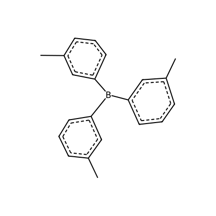 Cc1cccc(B(c2cccc(C)c2)c2cccc(C)c2)c1